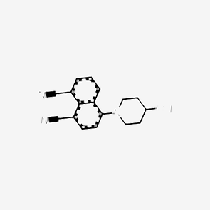 N#Cc1cccc2c(N3CCC(O)CC3)ccc(C#N)c12